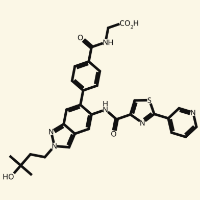 CC(C)(O)CCn1cc2cc(NC(=O)c3csc(-c4cccnc4)n3)c(-c3ccc(C(=O)NCC(=O)O)cc3)cc2n1